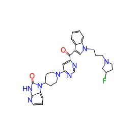 O=C(c1cc(N2CCC(n3c(=O)[nH]c4ncccc43)CC2)ncn1)c1cn(CCCN2CC[C@@H](F)C2)c2ccccc12